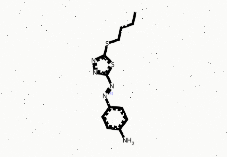 CCCCSc1nnc(/N=N/c2ccc(N)cc2)s1